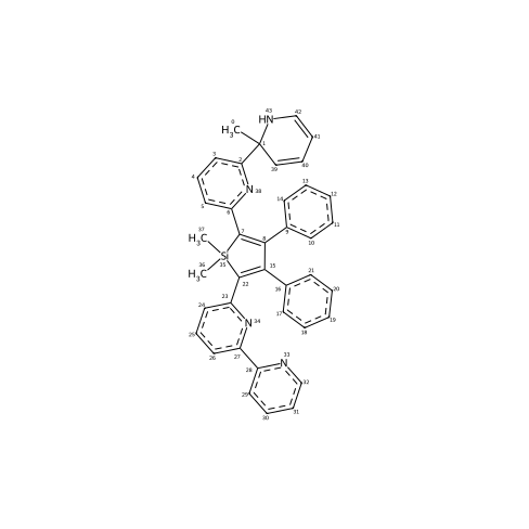 CC1(c2cccc(C3=C(c4ccccc4)C(c4ccccc4)=C(c4cccc(-c5ccccn5)n4)[Si]3(C)C)n2)C=CC=CN1